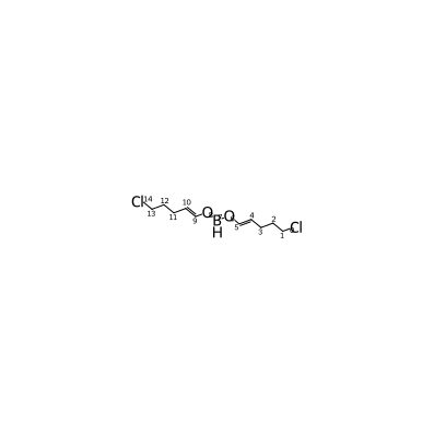 ClCCCC=COBOC=CCCCCl